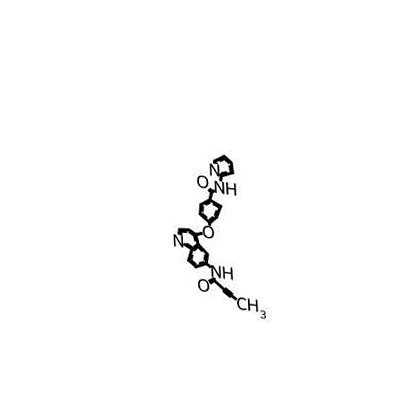 CC#CC(=O)Nc1ccc2nccc(Oc3ccc(C(=O)Nc4ccccn4)cc3)c2c1